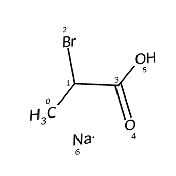 CC(Br)C(=O)O.[Na]